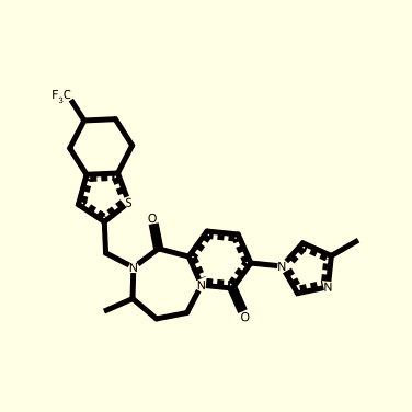 Cc1cn(-c2ccc3n(c2=O)CCC(C)N(Cc2cc4c(s2)CCC(C(F)(F)F)C4)C3=O)cn1